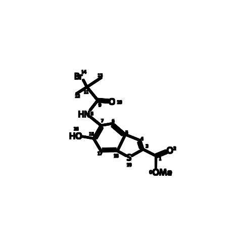 COC(=O)c1cc2cc(NC(=O)C(C)(C)Br)c(O)cc2s1